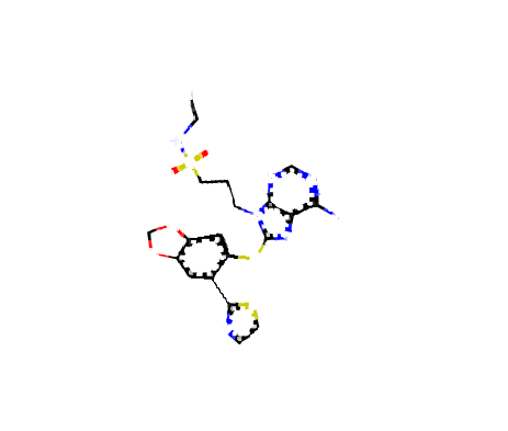 CC(C)CNS(=O)(=O)CCCn1c(Sc2cc3c(cc2-c2nccs2)OCO3)nc2c(N)ncnc21